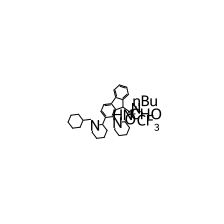 CCCCN(CC(F)(F)F)C(=O)C1c2ccccc2-c2ccc(C3CCCCN3CC3CCCCC3)c(N3CCCCC3NC=O)c21